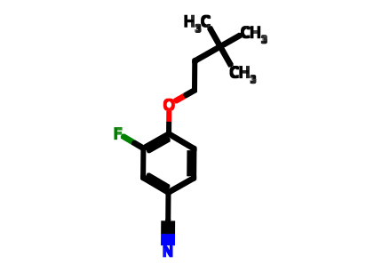 CC(C)(C)CCOc1ccc(C#N)cc1F